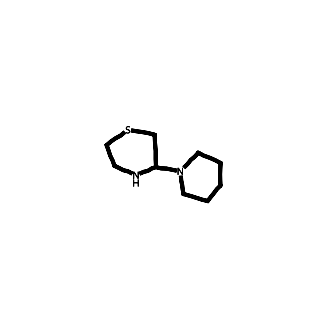 C1CCN(C2CSCCN2)CC1